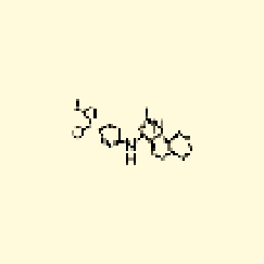 CCOC(=O)c1ccc(Nc2cc(C)nc3c2ccc2ccccc23)cc1